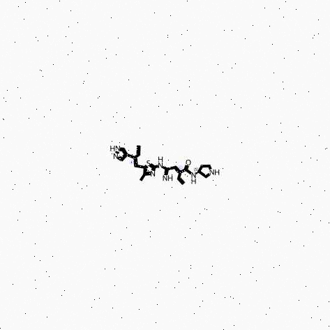 C=C/C(=C\C(=N)Nc1nc(C)c(/C=C(\C=C)c2cn[nH]c2)s1)C(=O)N[C@H]1CCNC1